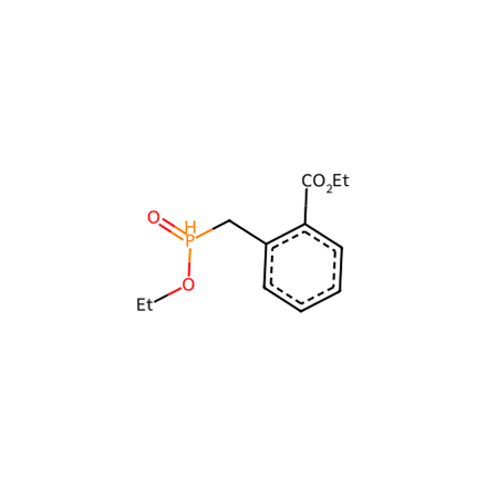 CCOC(=O)c1ccccc1C[PH](=O)OCC